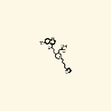 COc1ccc2nccc([C@H](F)CC[C@@H]3CCN(CCCCc4ccco4)C[C@@H]3CC(=O)O)c2c1